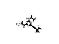 CC(Nc1nc(C#CC2(C(F)F)CC2)nc(N[C@H](C)C(F)(F)F)n1)C(F)F